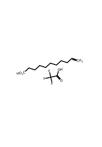 C=CCCCCCCCCC(=O)O.O=C(O)C(F)(F)F